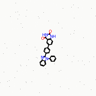 O=c1[nH]c(=O)c2cc(-c3ccc(-c4nc5ccccc5n4-c4ccccc4)cc3)ccc2[nH]1